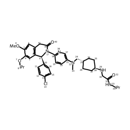 COc1cc2c(cc1OC(C)C)[C@H](c1ccc(Cl)cc1)N(c1ccc(N(C)C[C@H]3CC[C@H](NCC(=O)NC(C)C)CC3)cn1)C(=O)C2